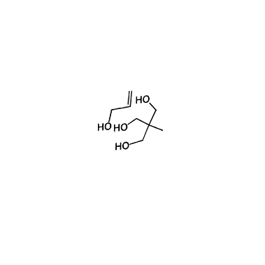 C=CCO.CC(CO)(CO)CO